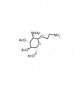 CC(=O)N[C@H]1C(OCCN)O[C@H](COC(C)=O)[C@@H](OC(C)=O)[C@@H]1OC(C)=O